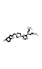 C=CCN(CC=C)c1ncnc(N2CCN(Cc3cc4cc(F)ccc4o3)CC2)n1